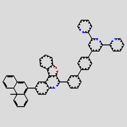 CC12C=CC=CC1=C(c1ccc3nc(-c4cccc(-c5ccc(-c6cc(-c7ccccn7)nc(-c7ccccn7)c6)cc5)c4)c4oc5ccccc5c4c3c1)C=C1C=CC=CC12